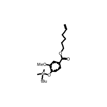 C=CCCCCOC(=O)c1ccc(O[Si](C)(C)C(C)(C)C)c(OC)c1